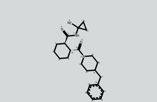 N#CC1(NC(=O)[C@@H]2CCCC[C@H]2C(=O)N2CCC(Cc3ccccc3)CC2)CC1